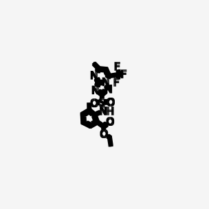 CCOC(=O)c1cccc(C)c1NS(=O)(=O)c1nc2nc(C)cc(C(F)(F)F)n2n1